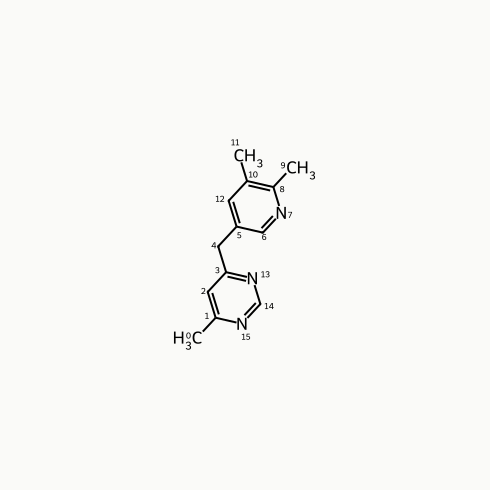 Cc1cc(Cc2cnc(C)c(C)c2)ncn1